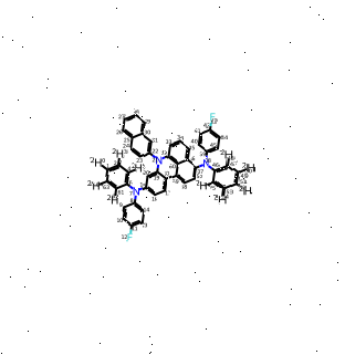 [2H]c1c([2H])c([2H])c(N(c2ccc(F)cc2)c2ccc3c(c2)N(c2ccc4ccccc4c2)c2cccc4c(N(c5ccc(F)cc5)c5c([2H])c([2H])c([2H])c([2H])c5[2H])ccc-3c24)c([2H])c1[2H]